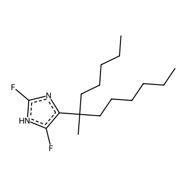 CCCCCCC(C)(CCCCC)c1nc(F)[nH]c1F